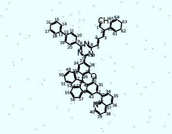 C=C/C(=C\C=C\c1nc(-c2ccc(-c3ccccc3)cc2)nc(-c2ccc3c(c2)Oc2cc(-c4cccc5cccnc45)ccc2C3(c2ccccc2)c2ccccc2)n1)C1=CCCC=C1